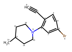 C#Cc1ccc(Br)cc1N1CCC(C)CC1